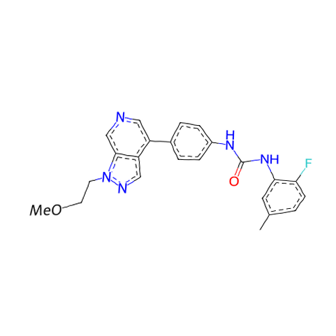 COCCn1ncc2c(-c3ccc(NC(=O)Nc4cc(C)ccc4F)cc3)cncc21